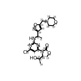 C[C@@H](Nc1nc(Cl)cc(N2C(=O)OC[C@@H]2[C@@H](C)O)n1)c1cc(CN2CCOCC2)on1